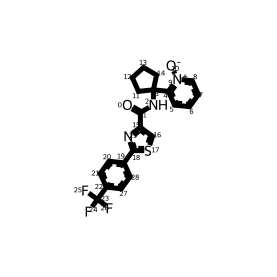 O=C(NC1(c2cccc[n+]2[O-])CCCC1)c1csc(-c2ccc(C(F)(F)F)cc2)n1